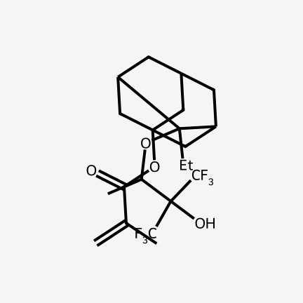 C=C(C)C(=O)OC12CC3CC(C1)C(CC)(OC(C)C(O)(C(F)(F)F)C(F)(F)F)C(C3)C2